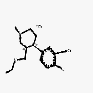 Br.CCOC[C@H]1CN(C)CC[C@H]1c1ccc(Cl)c(Cl)c1